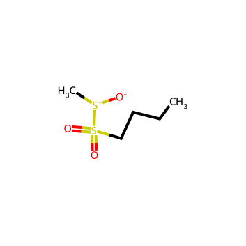 CCCCS(=O)(=O)[S+](C)[O-]